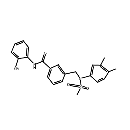 CCCc1ccccc1NC(=O)c1cccc(CN(c2ccc(C)c(C)c2)S(C)(=O)=O)c1